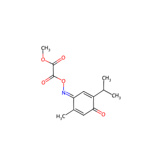 COC(=O)C(=O)O/N=C1\C=C(C(C)C)C(=O)C=C1C